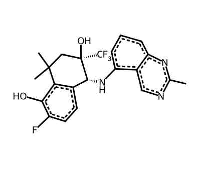 Cc1ncc2c(N[C@@H]3c4ccc(F)c(O)c4C(C)(C)C[C@]3(O)C(F)(F)F)cccc2n1